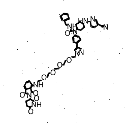 N#Cc1ccc(N[C@H]2CC[C@H](N(C(=O)NCc3ccccc3)c3ccc(-c4cnn(CCOCCOCCOCCOCCNc5cccc6c5C(=O)N(C5CCC(=O)NC5=O)C6=O)c4)cc3)CC2)nc1